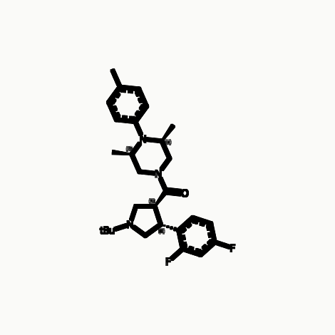 Cc1ccc(N2[C@H](C)CN(C(=O)[C@@H]3CN(C(C)(C)C)C[C@H]3c3ccc(F)cc3F)C[C@@H]2C)cc1